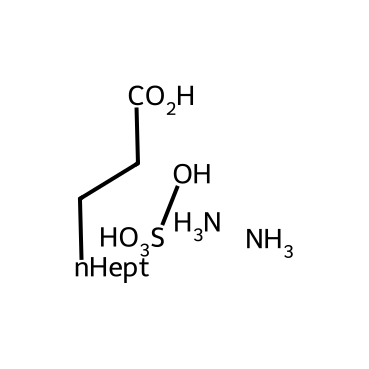 CCCCCCCCCC(=O)O.N.N.O=S(=O)(O)O